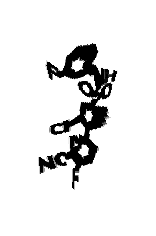 N#Cc1nc(-c2ccc(S(=O)(=O)Nc3cccc(F)c3)cc2Cl)ccc1F